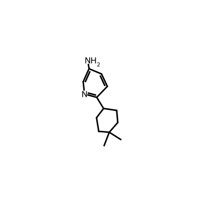 CC1(C)CCC(c2ccc(N)cn2)CC1